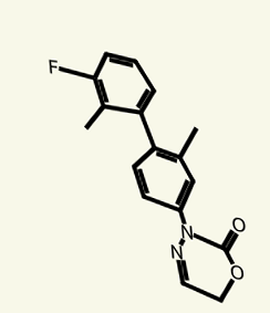 Cc1cc(N2N=CCOC2=O)ccc1-c1cccc(F)c1C